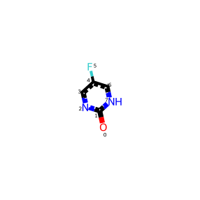 O=c1ncc(F)[c][nH]1